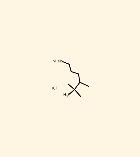 CCCCCCCCCC(C)C(C)(C)P.Cl